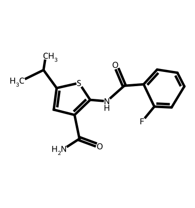 CC(C)c1cc(C(N)=O)c(NC(=O)c2ccccc2F)s1